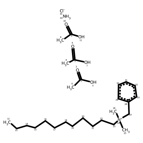 CC(=O)O.CC(=O)O.CC(=O)O.CCCCCCCCCCCC[N+](C)(C)Cc1ccccc1.N.[Cl-]